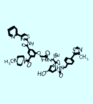 Cc1ncsc1-c1ccc(CNC(=O)[C@@H]2C[C@@H](O)CN2C(=O)[C@@H](NC(=O)COc2cc(C(=O)Nc3nc(-c4ccccn4)cs3)cc(C(=O)N3CCN(C)CC3)c2)C(C)(C)C)cc1